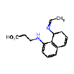 C/C=N\C1CC=Cc2cccc(NCCC(=O)O)c21